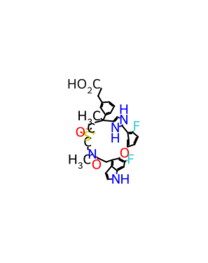 CN1CC[S+]([O-])CCC(C)(c2cccc(CCC(=O)O)c2)C2=CNC(N2)c2cc(ccc2F)Oc2c(F)cc3[nH]ccc3c2CC1=O